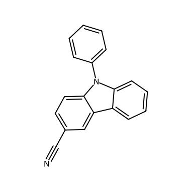 N#Cc1ccc2c(c1)c1ccccc1n2-c1ccccc1